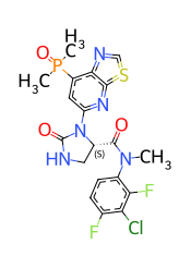 CN(C(=O)[C@@H]1CNC(=O)N1c1cc(P(C)(C)=O)c2ncsc2n1)c1ccc(F)c(Cl)c1F